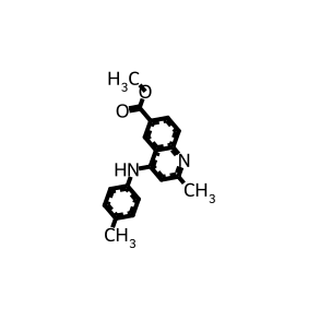 COC(=O)c1ccc2nc(C)cc(Nc3ccc(C)cc3)c2c1